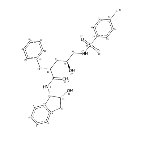 C=C(N[C@H]1c2ccccc2C[C@H]1O)[C@H](Cc1ccccc1)C[C@H](O)CNS(=O)(=O)c1ccc(F)cc1